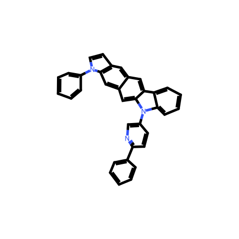 c1ccc(-c2ccc(-n3c4ccccc4c4cc5cc6ccn(-c7ccccc7)c6cc5cc43)cn2)cc1